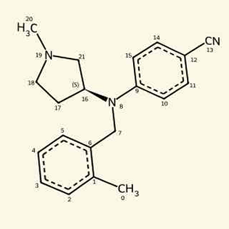 Cc1ccccc1CN(c1ccc(C#N)cc1)[C@H]1CCN(C)C1